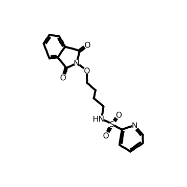 O=C1c2ccccc2C(=O)N1OCCCCNS(=O)(=O)c1ccccn1